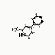 FC(F)(F)C1CN(c2ccccc2)CCN1